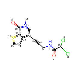 Cn1cc(C#CCNC(=O)C(Cl)Cl)c2ccsc2c1=O